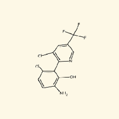 Nc1ccc(Cl)c(-c2ncc(C(F)(F)F)cc2Cl)c1O